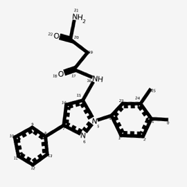 Cc1ccc(-n2nc(-c3ccccc3)cc2NC(=O)CC(N)=O)cc1C